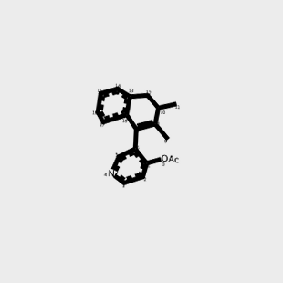 CC(=O)Oc1ccncc1C1=C(C)C(C)Cc2ccccc21